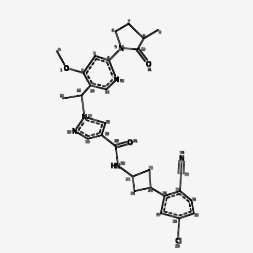 COc1cc(N2CCC(C)C2=O)ncc1C(C)n1cc(C(=O)NC2CC(c3cc(Cl)ccc3C#N)C2)cn1